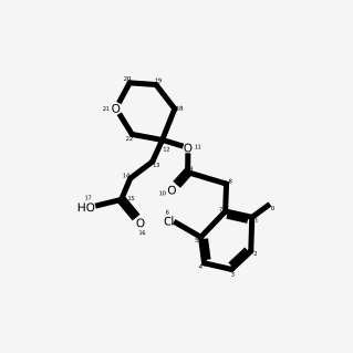 Cc1cccc(Cl)c1CC(=O)OC1(CCC(=O)O)CCCOC1